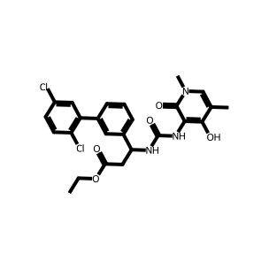 CCOC(=O)CC(NC(=O)Nc1c(O)c(C)cn(C)c1=O)c1cccc(-c2cc(Cl)ccc2Cl)c1